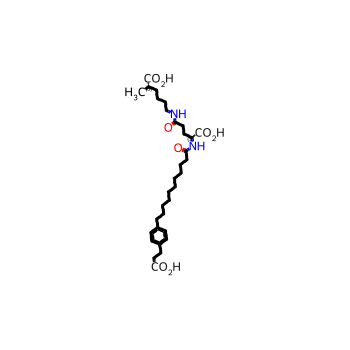 C[C@@H](CCCCNC(=O)CC[C@H](NC(=O)CCCCCCCCCCc1ccc(CCC(=O)O)cc1)C(=O)O)C(=O)O